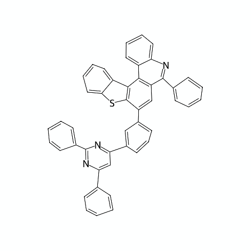 c1ccc(-c2cc(-c3cccc(-c4cc5c(-c6ccccc6)nc6ccccc6c5c5c4sc4ccccc45)c3)nc(-c3ccccc3)n2)cc1